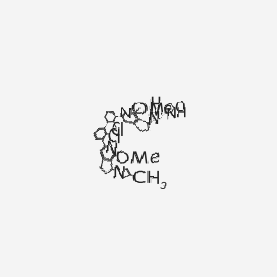 COc1nc(-c2cccc(-c3cccc(-c4cc5c(c(OC)n4)[C@@H](N4CC(C)C4)CC5)c3Cl)c2Cl)cc2c1[C@H](NC[C@@H]1CCC(=O)N1)CC2